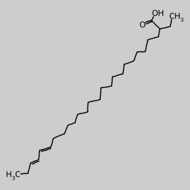 CC/C=C/C=C/CCCCCCCCCCCCCCCCCCC(CC)C(=O)O